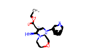 CCOC(=O)/C(=C/Nc1cccnc1)C(=N)N1CCOCC1